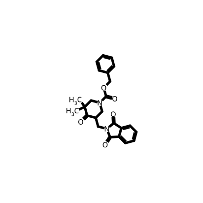 CC1(C)CN(C(=O)OCc2ccccc2)CC(CN2C(=O)c3ccccc3C2=O)C1=O